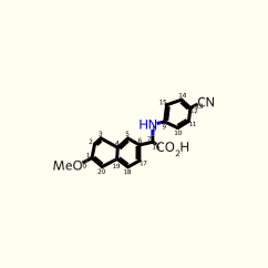 COc1ccc2cc(C(Nc3ccc(C#N)cc3)C(=O)O)ccc2c1